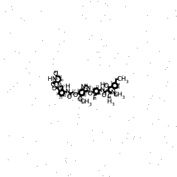 CCc1ccc2c(c1)c(=O)c(C(=O)Nc1ccc(Oc3ncnc4cc(OCC(=O)Nc5cccc6c5CN(C5CCC(=O)NC5=O)C6=O)c(OC)cc34)c(F)c1)c(C)n2C